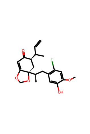 C=CC(C)[C@H]1C[C@]2([C@H](C)Cc3cc(O)c(OC)cc3F)OCOC2=CC1=O